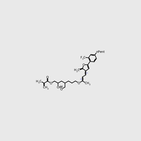 C=C(C)C(=O)OCC(O)CC(CO)CCCO/C(C)=C/C=c1/cc(-c2ccc(CCCCC)cc2C(F)(F)F)oc1=C